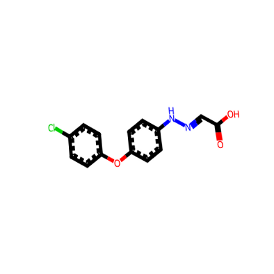 O=C(O)/C=N/Nc1ccc(Oc2ccc(Cl)cc2)cc1